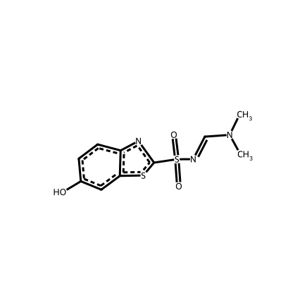 CN(C)C=NS(=O)(=O)c1nc2ccc(O)cc2s1